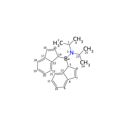 CC(C)N(B(C1C=Cc2ccccc21)C1C=Cc2ccccc21)C(C)C